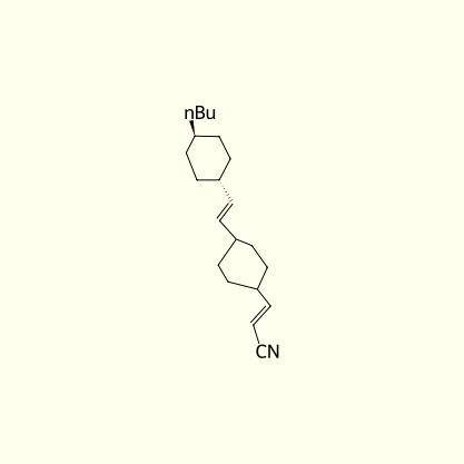 CCCC[C@H]1CC[C@H](/C=C/C2CCC(C=CC#N)CC2)CC1